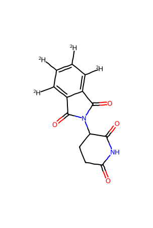 [2H]c1c([2H])c([2H])c2c(c1[2H])C(=O)N(C1CCC(=O)NC1=O)C2=O